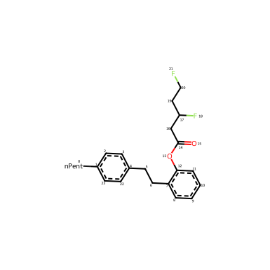 CCCCCc1ccc(CCc2ccccc2OC(=O)CC(F)CCF)cc1